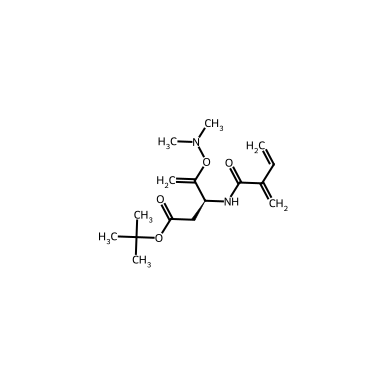 C=CC(=C)C(=O)N[C@@H](CC(=O)OC(C)(C)C)C(=C)ON(C)C